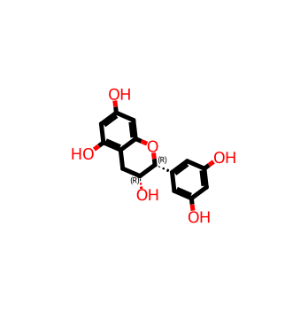 Oc1cc(O)cc([C@H]2Oc3cc(O)cc(O)c3C[C@H]2O)c1